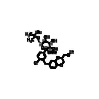 CCOCC1COc2ccc(Cc3cc([C@]4(OC)O[C@H](CO[Si](C)(C)C(C)(C)C)[C@@H](O)[C@H](O)[C@H]4O)ccc3Cl)cc2O1